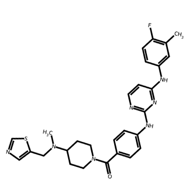 Cc1cc(Nc2ccnc(Nc3ccc(C(=O)N4CCC(N(C)Cc5cncs5)CC4)cc3)n2)ccc1F